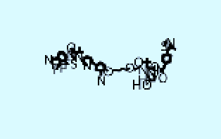 Cc1ncsc1-c1ccc(CNC(=O)[C@@H]2C[C@@H](O)CN2C(=O)[C@@H](NC(=O)COCCCCOc2ccc(-c3ccc(N4C(=S)N(c5ccc(C#N)c(C(F)(F)F)c5F)C(=O)C4(C)C)cn3)cc2C#N)C(C)(C)C)cc1